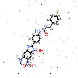 CN(C)c1cc2nc(-c3ccc(NC(=O)/C=C/c4c[c]c(F)cc4)cc3)n(O)c2cc1[N+](=O)[O-]